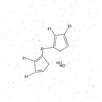 CCC1=CC[C]([Zr][C]2=C(CC)C(CC)=CC2)=C1CC.Cl.Cl